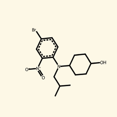 CC(C)CN(c1ccc(Br)cc1[N+](=O)[O-])C1CCC(O)CC1